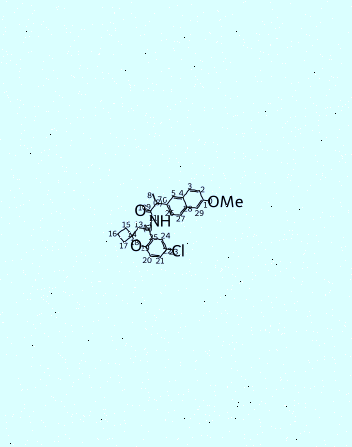 COc1ccc2cc([C@H](C)C(=O)N[C@H]3CC4(CCC4)Oc4ccc(Cl)cc43)ccc2c1